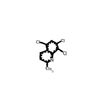 Cc1ccc2c(Cl)cc(Cl)c(Cl)c2n1